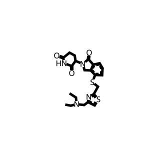 CCN(CC)Cc1csc(CSc2cccc3c2CN(C2CCC(=O)NC2=O)C3=O)n1